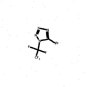 CC(C)c1nnnn1C(F)(F)C(F)(F)F